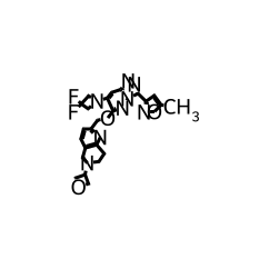 Cc1cc(-c2nnc3cc(N4CC(F)(F)C4)c(OCc4ccc5c(n4)CCN(C4COC4)C5)nn23)no1